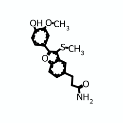 COc1cc(-c2oc3ccc(CCC(N)=O)cc3c2SC)ccc1O